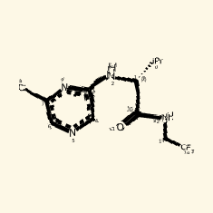 CC(C)[C@@H](Nc1cncc(Cl)n1)C(=O)NCC(F)(F)F